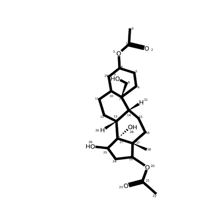 CC(=O)OC1CC[C@@]2(CO)C(CC[C@@H]3[C@H]2CC[C@]2(C)C(OC(C)=O)CC(O)[C@@]32O)C1